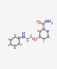 NC(=O)c1cccc(OCCNc2ccccc2)c1